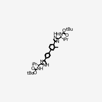 Cc1cc(-c2ccc(-c3c[nH]c([C@@H](NC(=O)OC(C)(C)C)C(C)C)n3)cc2)ccc1-c1c[nH]c([C@@H](NC(=O)OC(C)(C)C)C(C)C)n1